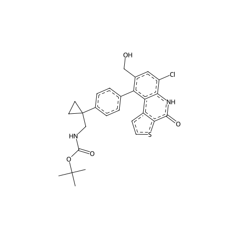 CC(C)(C)OC(=O)NCC1(c2ccc(-c3c(CO)cc(Cl)c4[nH]c(=O)c5sccc5c34)cc2)CC1